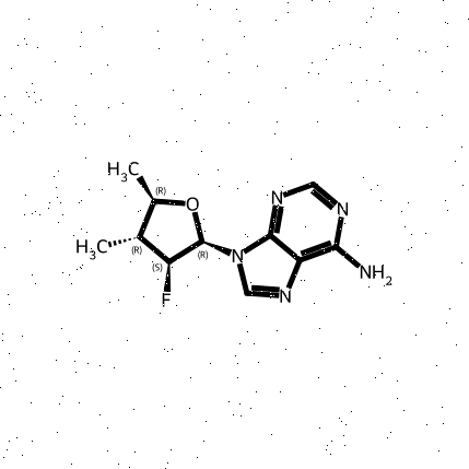 C[C@H]1[C@H](F)[C@H](n2cnc3c(N)ncnc32)O[C@@H]1C